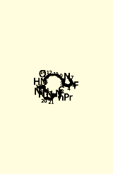 CCCN1Cc2cc(F)cnc2CCCC(=O)Nc2cnn3ccc1nc23